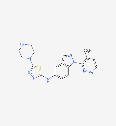 O=C(O)c1ccnnc1-n1ncc2cc(Nc3nnc(N4CCNCC4)s3)ccc21